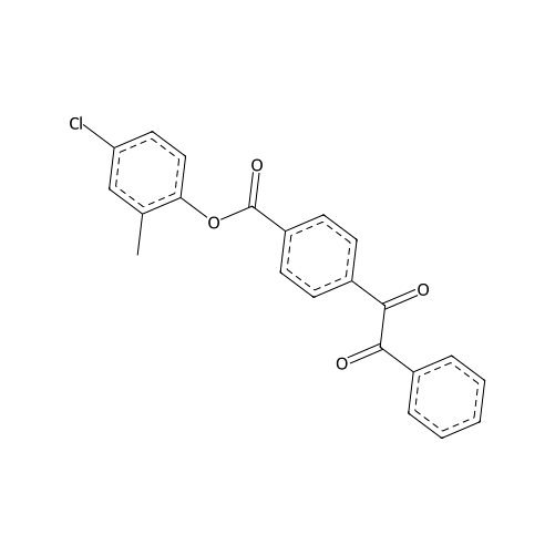 Cc1cc(Cl)ccc1OC(=O)c1ccc(C(=O)C(=O)c2ccccc2)cc1